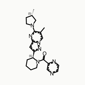 Cc1cn2nc([C@@H]3CCCCN3C(=O)c3cnccn3)cc2nc1N1CC[C@H](C)C1